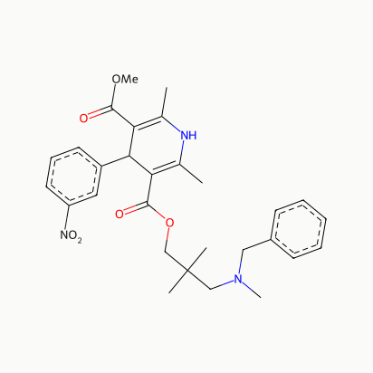 COC(=O)C1=C(C)NC(C)=C(C(=O)OCC(C)(C)CN(C)Cc2ccccc2)C1c1cccc([N+](=O)[O-])c1